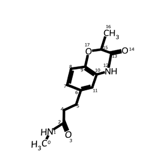 CNC(=O)CCc1ccc2c(c1)NC(=O)C(C)O2